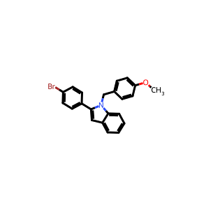 COc1ccc(Cn2c(-c3ccc(Br)cc3)cc3ccccc32)cc1